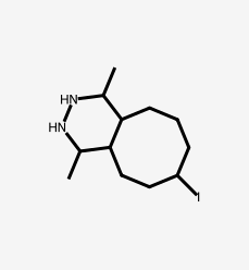 CC1NNC(C)C2CCC(I)CCCC12